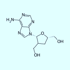 Nc1ncnc2c1ncn2[C@@H]1O[C@H](CO)CC1CO